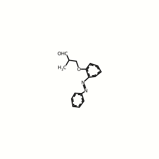 CC(C=O)COc1ccccc1N=Nc1ccccc1